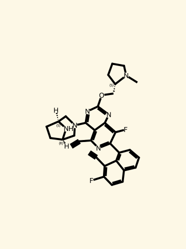 C#Cc1c(F)ccc2cccc(-c3nc(C#C)c4c(N5C[C@H]6CC[C@@H](C5)N6)nc(OC[C@@H]5CCCN5C)nc4c3F)c12